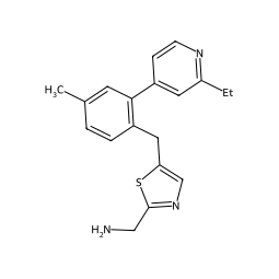 CCc1cc(-c2cc(C)ccc2Cc2cnc(CN)s2)ccn1